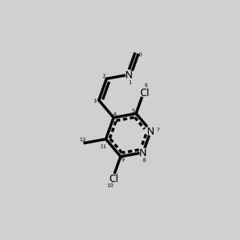 C=N/C=C\c1c(Cl)nnc(Cl)c1C